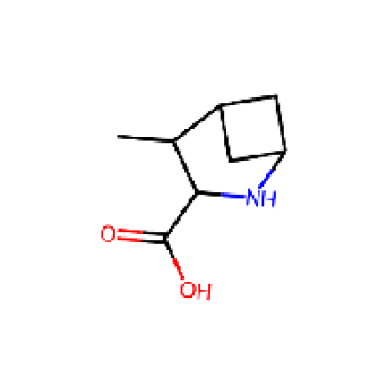 CC1C2CC(C2)NC1C(=O)O